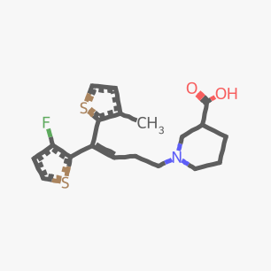 Cc1ccsc1/C(=C\CCN1CCCC(C(=O)O)C1)c1sccc1F